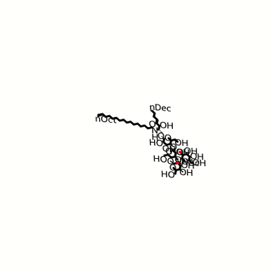 CCCCCCCC/C=C\CCCCCCCCCCCCCC(=O)N[C@@H](CO[C@@H]1OC(CO)[C@@H](O[C@@H]2OC(CO)[C@H](O[C@@H]3OC(CO)[C@H](O)[C@H](O)C3NC(C)=O)[C@H](O[C@H]3OC(CO)[C@H](O)[C@H](O)C3O)C2O)[C@H](O)C1O)[C@H](O)/C=C/CCCCCCCCCCCCC